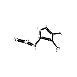 Cc1csc(N=C=O)c1Cl